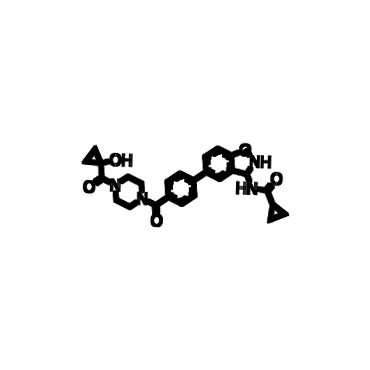 O=C(NC1NOc2ccc(-c3ccc(C(=O)N4CCN(C(=O)C5(O)CC5)CC4)cc3)cc21)C1CC1